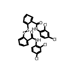 O=C(Nc1ccc(Cl)cc1Cl)c1ccccc1SSc1ccccc1C(=O)Nc1ccc(Cl)cc1Cl